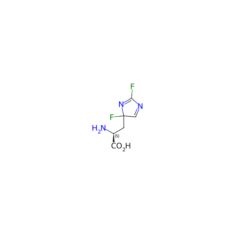 N[C@@H](CC1(F)C=NC(F)=N1)C(=O)O